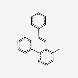 Cc1ccnc(-c2ccccc2)c1C=Cc1ccccc1